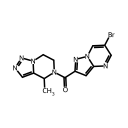 CC1c2cnnn2CCN1C(=O)c1cc2ncc(Br)cn2n1